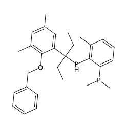 CCC(CC)(Pc1c(C)cccc1P(C)C)c1cc(C)cc(C)c1OCc1ccccc1